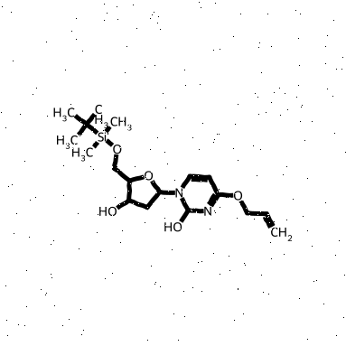 C=CCOC1=NC(O)N(C2CC(O)C(CO[Si](C)(C)C(C)(C)C)O2)C=C1